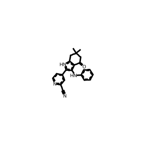 CC1(C)CC(=O)c2c([nH]c(-c3ccnc(C#N)c3)c2Nc2ccccc2)C1